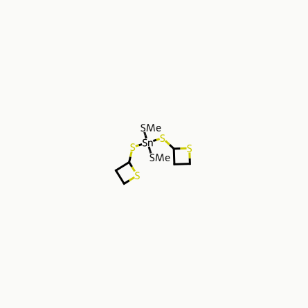 C[S][Sn]([S]C)([S]C1CCS1)[S]C1CCS1